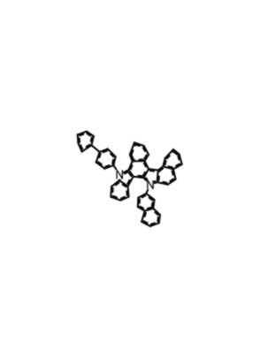 c1ccc(-c2ccc(-n3c4ccccc4c4c3c3ccccc3c3c5c6ccccc6ccc5n(-c5ccc6ccccc6c5)c34)cc2)cc1